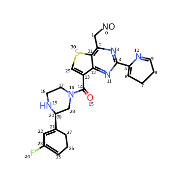 O=NCc1nc(C2=CCCC=N2)nc2c(C(=O)N3CCN[C@H](C4=CC(F)=CCC4)C3)csc12